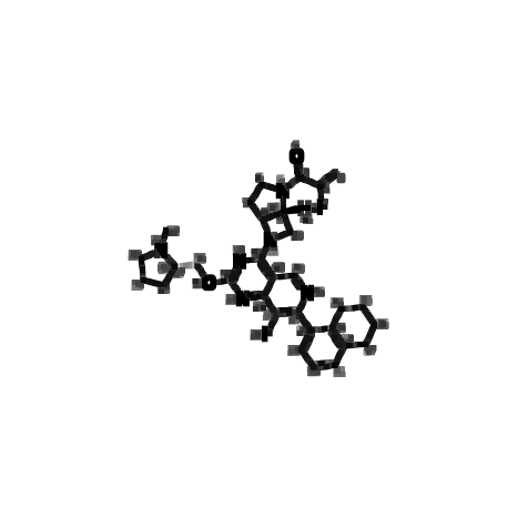 C=C(F)C(=O)N1CCC2[C@H]1CN2c1nc(OC[C@@H]2CCCN2C)nc2c(F)c(-c3cccc4c3CCCC4)ncc12